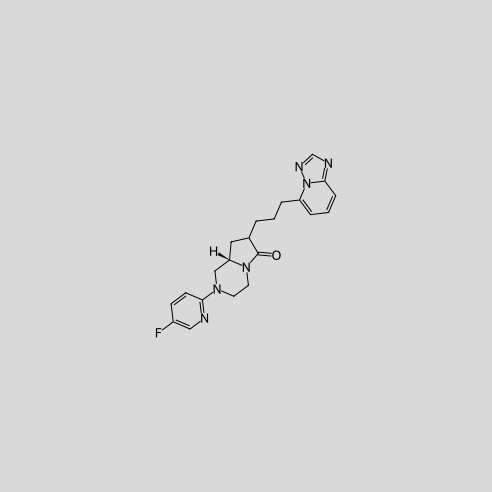 O=C1C(CCCc2cccc3ncnn23)C[C@H]2CN(c3ccc(F)cn3)CCN12